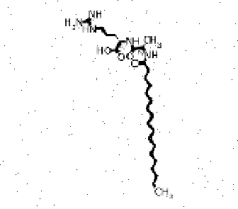 CCCCCCCCCCCCCCCCCC(=O)N[C@@H](C)C(=O)N[C@@H](CCCNC(=N)N)C(=O)O